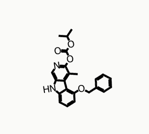 Cc1c(OC(=O)OC(C)C)ncc2[nH]c3cccc(OCc4ccccc4)c3c12